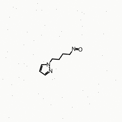 O=NCCCCn1cccn1